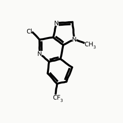 Cn1cnc2c(Cl)nc3cc(C(F)(F)F)ccc3c21